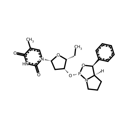 CC[C@H]1O[C@@H](n2cc(C)c(=O)[nH]c2=O)C[C@H]1O[P@]1O[C@@H](c2ccccc2)[C@H]2CCCN21